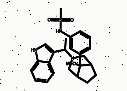 COC1(c2cccc(NS(C)(=O)=O)c2)C2CCC1CN(C(C)c1c[nH]c3ccccc13)C2